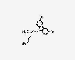 CC(C)CCC[C@H](C)CCn1c2ccc(Br)cc2c2cc(Br)ccc21